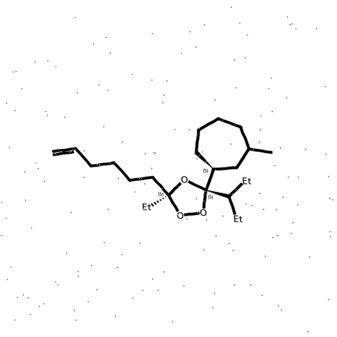 C=CCCCC[C@]1(CC)OO[C@@](C(CC)CC)([C@H]2CCCCC(C)C2)O1